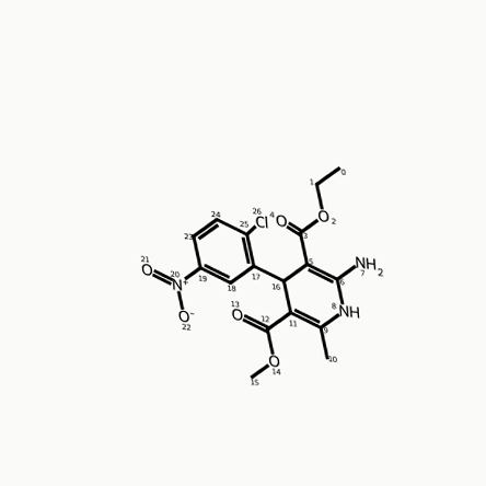 CCOC(=O)C1=C(N)NC(C)=C(C(=O)OC)C1c1cc([N+](=O)[O-])ccc1Cl